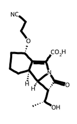 C[C@@H](O)[C@H]1C(=O)N2C(C(=O)O)=C3[C@@H](OCCC#N)CCC[C@@H]3[C@H]12